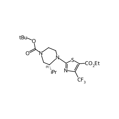 CCOC(=O)c1sc(N2CCN(C(=O)OC(C)(C)C)C[C@H]2C(C)C)nc1C(F)(F)F